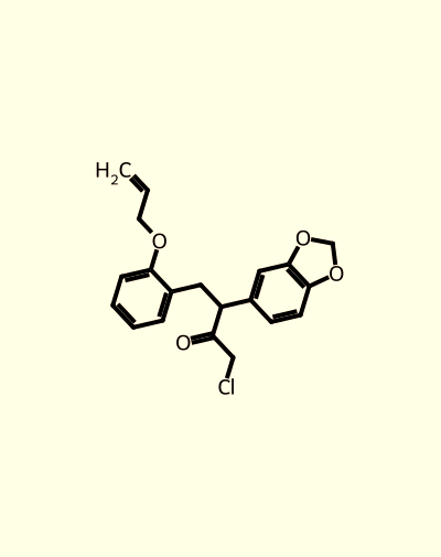 C=CCOc1ccccc1CC(C(=O)CCl)c1ccc2c(c1)OCO2